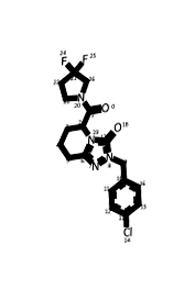 O=C(C1CCCc2nn(Cc3ccc(Cl)cc3)c(=O)n21)N1CCC(F)(F)C1